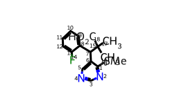 CSc1ncncc1C(c1ccccc1F)C(C)(C)C(=O)O